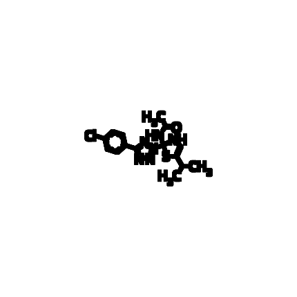 CC(=O)NC1(n2nnc(-c3ccc(Cl)cc3)n2)NC=C(C(C)C)S1